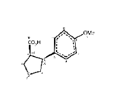 COc1ccc([C@H]2CSC[C@H]2C(=O)O)cc1